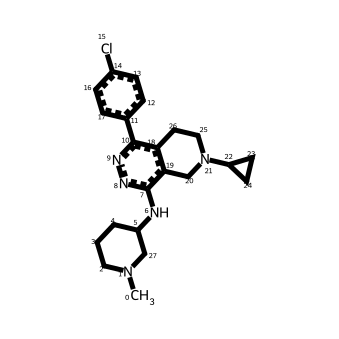 CN1CCCC(Nc2nnc(-c3ccc(Cl)cc3)c3c2CN(C2CC2)CC3)C1